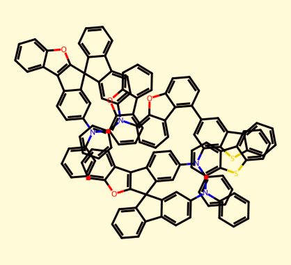 c1ccc(N(c2ccc3c(c2)C2(c4ccccc4-c4ccc(N(c5ccccc5)c5cccc6c5oc5cccc(-c7cc(N(c8ccccc8)c8ccc9c(c8)C8(c%10ccccc%10-c%10ccc(N(c%11ccccc%11)c%11cccc%12c%11sc%11ccccc%11%12)cc%108)c8oc%10ccccc%10c8-9)c8sc9ccccc9c8c7)c56)cc42)c2oc4ccccc4c2-3)c2cccc3c2oc2ccccc23)cc1